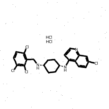 Cl.Cl.Clc1ccc2c(N[C@H]3CC[C@@H](NCc4c(Cl)ccc(Cl)c4Cl)CC3)ccnc2c1